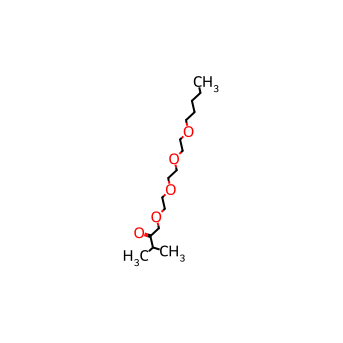 CCCCCOCCOCCOCCOCC(=O)C(C)C